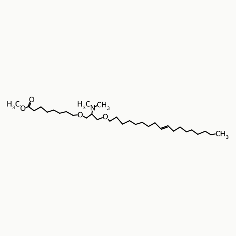 CCCCCCCCC=CCCCCCCCCOCC(COCCCCCCCC(=O)OC)N(C)C